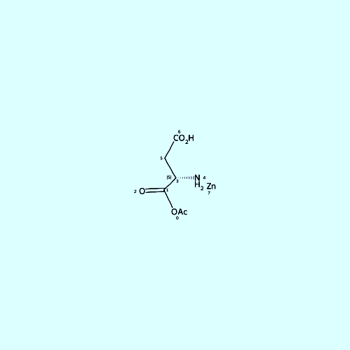 CC(=O)OC(=O)[C@@H](N)CC(=O)O.[Zn]